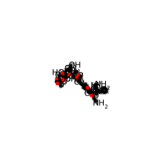 COc1cccc2c1C(=O)c1c(O)c3c(c(O)c1C2=O)CC(O)(C(=O)CO)CC3OC1CC2C(OCN2C(=O)OCc2ccc(NC(=O)C(CCCCN)NC(=O)C(Cc3ccccc3)NC(=O)C(C)N)cc2)C(C)O1